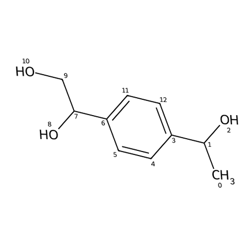 CC(O)c1ccc(C(O)CO)cc1